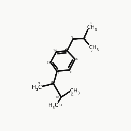 CC(C)Cc1ccc(C(C)C(C)C)cc1